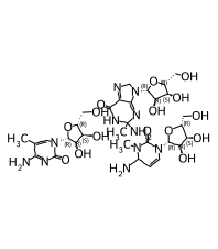 CC1(N)N=C2C(=NCN2[C@@H]2O[C@H](CO)[C@@H](O)[C@H]2O)C(=O)N1.CN1C(=O)N([C@@H]2O[C@H](CO)[C@@H](O)[C@H]2O)C=CC1N.Cc1cn([C@@H]2O[C@H](CO)[C@@H](O)[C@H]2O)c(=O)nc1N